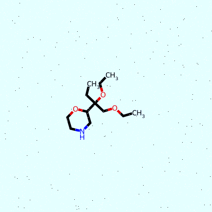 CCOCC(CC)(OCC)C1CNCCO1